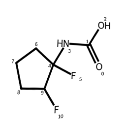 O=C(O)NC1(F)CCCC1F